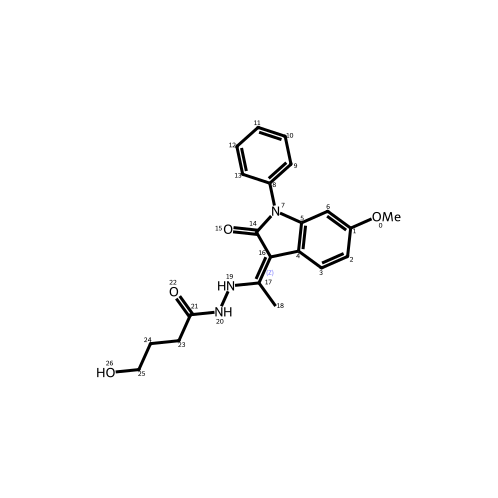 COc1ccc2c(c1)N(c1ccccc1)C(=O)/C2=C(/C)NNC(=O)CCCO